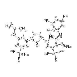 CC(C)Oc1cc(-c2ccc(-c3cc(C(F)(F)F)c(C#N)c(=O)n3Cc3ccc(F)cc3F)s2)cc(C(F)(F)F)c1